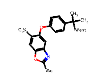 CCCCCC(C)(C)c1ccc(Oc2cc3nc(C(C)(C)C)oc3cc2[N+](=O)[O-])cc1